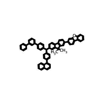 CC1(C)c2cc(-c3ccc4c(c3)oc3ccccc34)ccc2-c2ccc(C(c3ccc(-c4cccc(-c5ccccc5)c4)cc3)c3ccc(-c4cccc5ccccc45)cc3)cc21